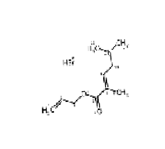 Br.C=CCOC(=O)C(C)=CCN(C)C